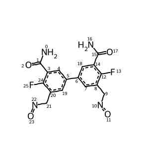 NC(=O)c1cc(-c2cc(CN=O)c(F)c(C(N)=O)c2)cc(CN=O)c1F